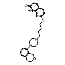 O=c1ccc2ccc(OCCCCN3CCN(c4cccc5c4COCC5)CC3)nc2[nH]1